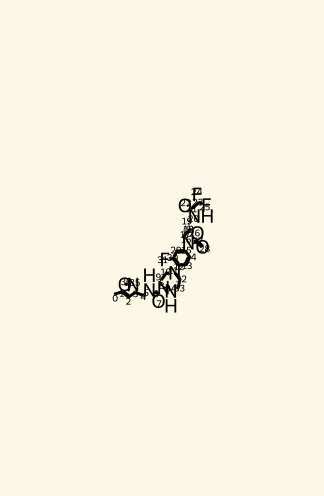 Cc1cc(CNC(=O)N2CCN(c3ccc(N4C[C@H](CNC(=O)C(F)F)OC4=O)cc3F)CCN2)no1